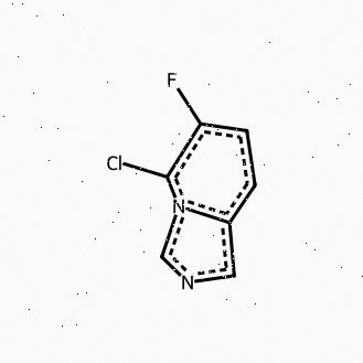 Fc1ccc2cncn2c1Cl